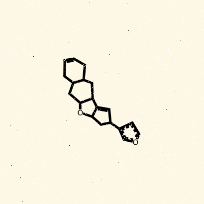 C1=CCC2CC3C4=CC(c5ccoc5)CC4OC3CC2C1